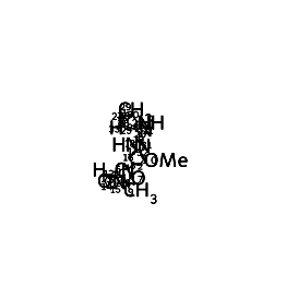 COc1cc(N(C)C(=O)C(C)N2CCOCC2)cc2[nH]c(-c3n[nH]c4c3C[C@@H]3C[C@]3(C)C4)nc12